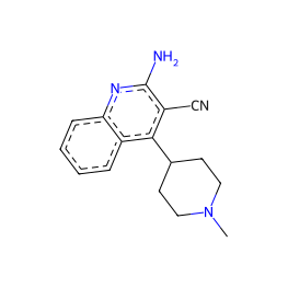 CN1CCC(c2c(C#N)c(N)nc3ccccc23)CC1